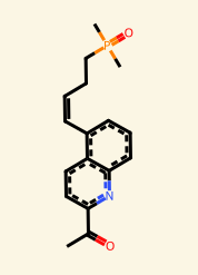 CC(=O)c1ccc2c(/C=C\CCP(C)(C)=O)cccc2n1